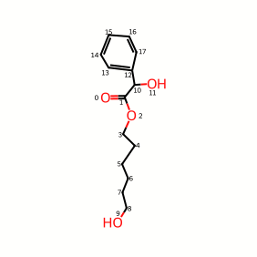 O=C(OCCCCCCO)C(O)c1ccccc1